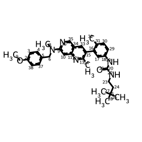 COc1ccc(CN(C)c2cc3nc(C)c(-c4cc(NC(=O)NCCC(C)(C)C)ccc4C)cc3cn2)cc1